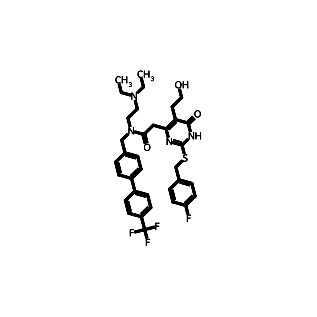 CCN(CC)CCN(Cc1ccc(-c2ccc(C(F)(F)F)cc2)cc1)C(=O)Cc1nc(SCc2ccc(F)cc2)[nH]c(=O)c1CCO